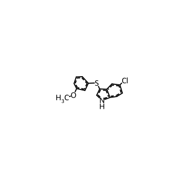 COc1cccc(Sc2c[nH]c3ccc(Cl)cc23)c1